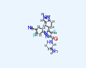 CN(C)[C@@H]1CCCN(C(=O)c2nn(-c3ccc(C#N)c(F)c3)c(-c3ccc4nn(C)cc4c3)c2F)C1